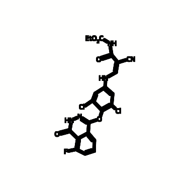 CCOC(=O)NC(=O)/C(C#N)=C\Nc1cc(Cl)c(Oc2n[nH]c(=O)c3c(F)cccc23)c(Cl)c1